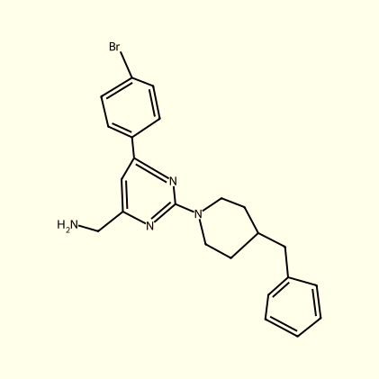 NCc1cc(-c2ccc(Br)cc2)nc(N2CCC(Cc3ccccc3)CC2)n1